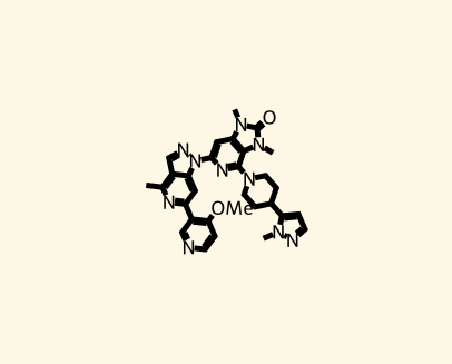 COc1ccncc1-c1cc2c(cnn2-c2cc3c(c(N4CCC(c5ccnn5C)CC4)n2)n(C)c(=O)n3C)c(C)n1